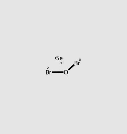 BrOBr.[Se]